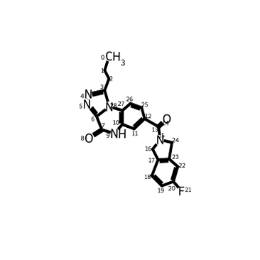 CCCc1nnc2c(=O)[nH]c3cc(C(=O)N4Cc5ccc(F)cc5C4)ccc3n12